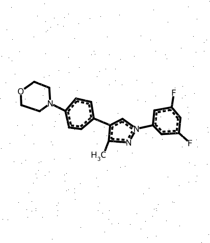 Cc1nn(-c2cc(F)cc(F)c2)cc1-c1ccc(N2CCOCC2)cc1